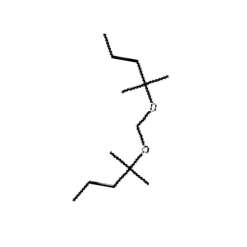 CCCC(C)(C)OCOC(C)(C)CCC